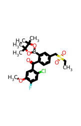 CCS(=O)(=O)Cc1ccc(C(=O)c2cc(OC)c(F)cc2Cl)c(B2OC(C)(C)C(C)(C)O2)c1